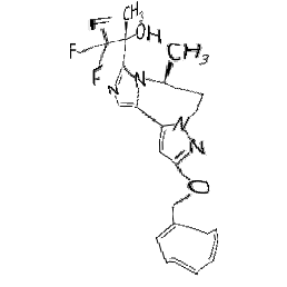 C[C@H]1Cn2nc(OCc3ccccc3)cc2-c2cnc([C@@](C)(O)C(F)(F)F)n21